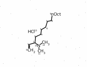 C=CC(CCCCCCCCCCCCCC)N(C)C.Cl